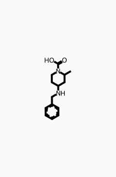 CC1CC(NCc2ccccc2)CCN1C(=O)O